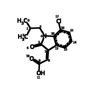 CC(C)CN1C(=O)C(=CC(=O)O)c2cccc(Cl)c21